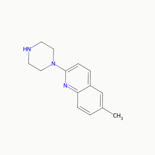 Cc1ccc2nc(N3CCNCC3)ccc2c1